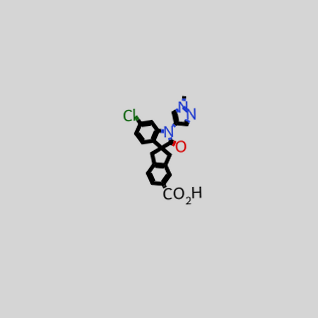 Cn1cc(N2C(=O)C3(Cc4ccc(C(=O)O)cc4C3)c3ccc(Cl)cc32)cn1